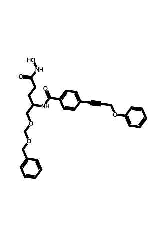 O=C(CCC(COCOCc1ccccc1)NC(=O)c1ccc(C#CCOc2ccccc2)cc1)NO